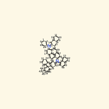 c1ccc(N(c2ccc3ccccc3c2)c2ccc3ccc4c(N(c5ccc6c(c5)-c5ccccc5C65C6CC7CC(C6)CC5C7)c5cccc6ccccc56)ccc5ccc2c3c54)cc1